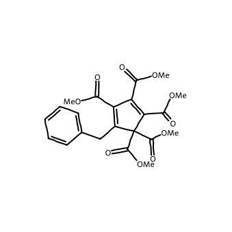 COC(=O)C1=C(Cc2ccccc2)C(C(=O)OC)(C(=O)OC)C(C(=O)OC)=C1C(=O)OC